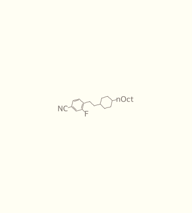 CCCCCCCCC1CCC(CCc2ccc(C#N)cc2F)CC1